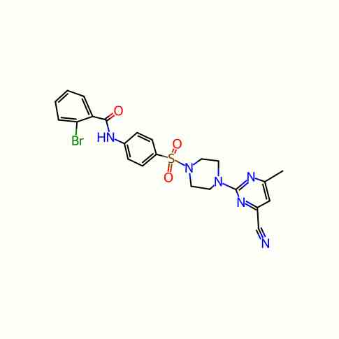 Cc1cc(C#N)nc(N2CCN(S(=O)(=O)c3ccc(NC(=O)c4ccccc4Br)cc3)CC2)n1